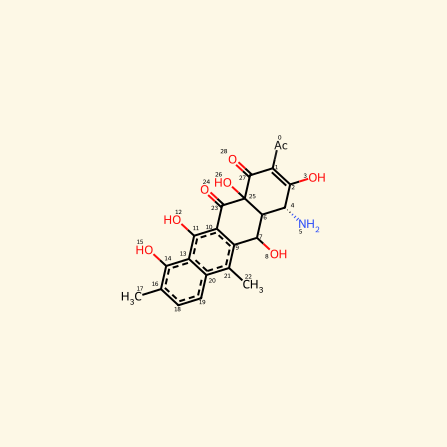 CC(=O)C1=C(O)[C@H](N)C2C(O)c3c(c(O)c4c(O)c(C)ccc4c3C)C(=O)C2(O)C1=O